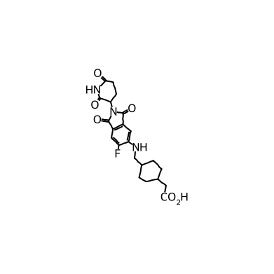 O=C(O)CC1CCC(CNc2cc3c(cc2F)C(=O)N(C2CCC(=O)NC2=O)C3=O)CC1